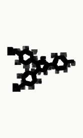 Cc1ccc(-c2cc(-c3ccc(Br)cc3)c(-c3ccc(Br)cc3)s2)cc1